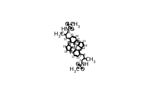 CC(CNS(C)(=O)=O)Cc1ccc(F)[c]([Ti]([C]2=CC=CC2)([C]2=CC=CC2)[c]2c(F)ccc(CC(C)CNS(C)(=O)=O)c2F)c1F